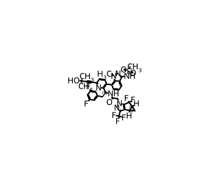 Cn1nc(NS(C)(=O)=O)c2cccc(-c3ccc(C#CC(C)(C)O)nc3[C@H](Cc3cc(F)cc(F)c3)NC(=O)Cn3nc(C(F)(F)F)c4c3C(F)(F)[C@@H]3C[C@H]43)c21